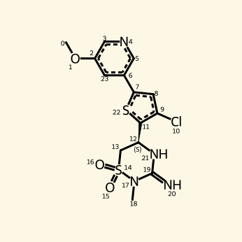 COc1cncc(-c2cc(Cl)c([C@@H]3CS(=O)(=O)N(C)C(=N)N3)s2)c1